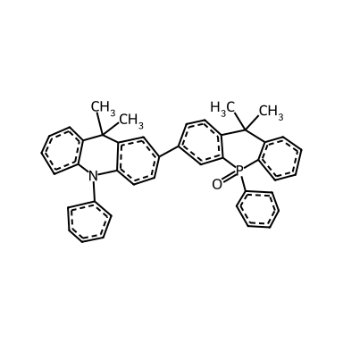 CC1(C)c2ccccc2N(c2ccccc2)c2ccc(-c3ccc4c(c3)P(=O)(c3ccccc3)c3ccccc3C4(C)C)cc21